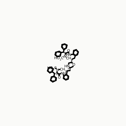 CN(C(=O)O)[C@H](C(=O)Nc1ccccc1CC[C@@H]1CO[C@H](CCc2ccccc2NC(=O)[C@H](C(c2ccccc2)c2ccccc2)N(C)C(=O)O)CN1)C(c1ccccc1)c1ccccc1